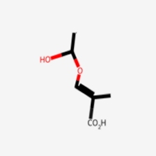 [CH2]C(O)OC=C(C)C(=O)O